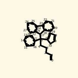 C=CCCCC(C1=CC=CC1)(c1ccccc1)C1c2ccccc2-c2ccccc21